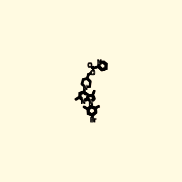 Cc1cc(N2CCC(COC(=O)c3ccccn3)CC2)c2c(C)cn(-c3c(C)cc(Br)cc3C)c2n1